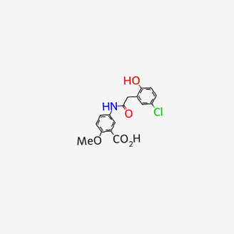 COc1ccc(NC(=O)Cc2cc(Cl)ccc2O)cc1C(=O)O